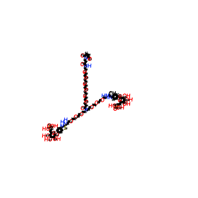 C=C(NCCOCCOCCOCCN(CCOCCOCCOCCNC(=S)Nc1ccc(OC2OC(CCP(=O)(O)O)C(O)C(O)C2O)cc1)C(=O)CCOCCOCCOCCOCCOCCOCCNC(=O)CCN1C(=O)C=CC1=O)Nc1ccc(OC2OC(CCP(=O)(O)O)C(O)C(O)C2O)cc1